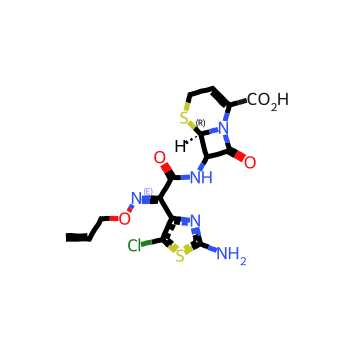 C=CCO/N=C(/C(=O)NC1C(=O)N2C(C(=O)O)=CCS[C@H]12)c1nc(N)sc1Cl